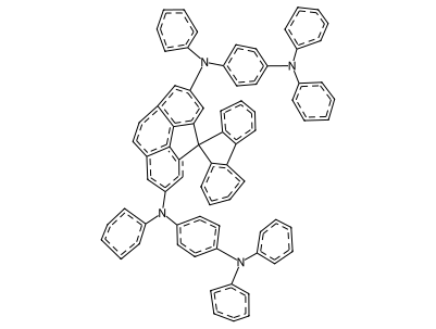 c1ccc(N(c2ccccc2)c2ccc(N(c3ccccc3)c3cc4c5c(ccc6cc(N(c7ccccc7)c7ccc(N(c8ccccc8)c8ccccc8)cc7)cc(c65)C45c4ccccc4-c4ccccc45)c3)cc2)cc1